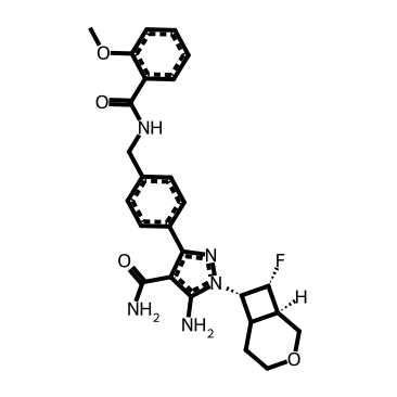 COc1ccccc1C(=O)NCc1ccc(-c2nn([C@H]3C4CCOC[C@@H]4[C@H]3F)c(N)c2C(N)=O)cc1